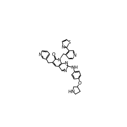 O=c1c(Cc2cccnc2)cc2cnc(Nc3ccc(OC4CCNC4)cc3)nc2n1Cc1ccncc1-c1nccs1